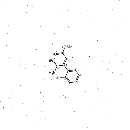 COC(=O)/C=C(/c1ccccc1C=O)[C@@H](N)C(C)C